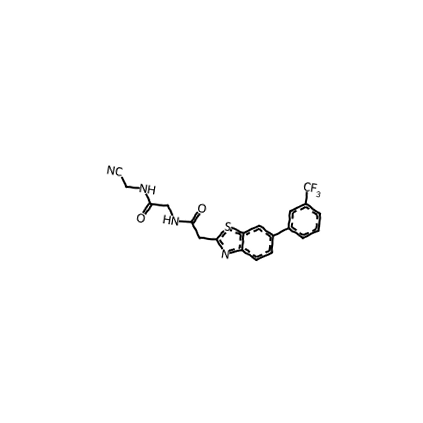 N#CCNC(=O)CNC(=O)Cc1nc2ccc(-c3cccc(C(F)(F)F)c3)cc2s1